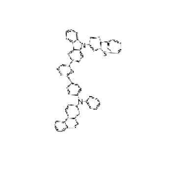 C1=CC2=CC(C=C1)Sc1cc(-n3c4ccccc4c4cc(-c5cccc(-c6ccc(N(c7ccccc7)C7C=Cc8c(ccc9ccccc89)C7)cc6)c5)ccc43)ccc12